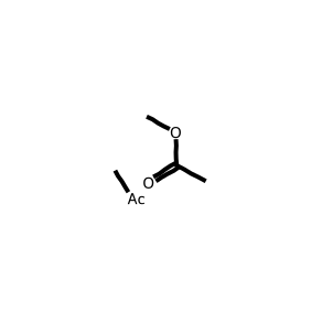 CC(C)=O.COC(C)=O